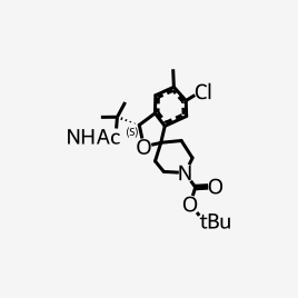 CC(=O)NC(C)(C)[C@H]1OC2(CCN(C(=O)OC(C)(C)C)CC2)c2cc(Cl)c(C)cc21